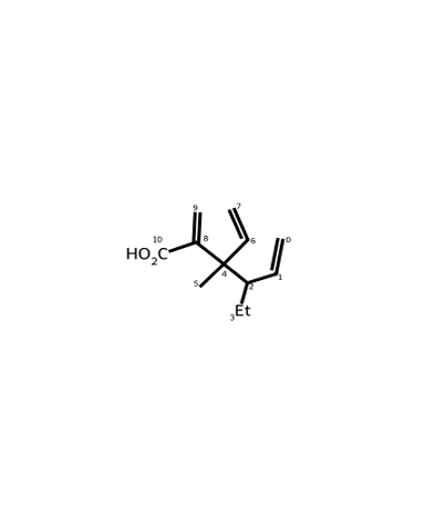 C=CC(CC)C(C)(C=C)C(=C)C(=O)O